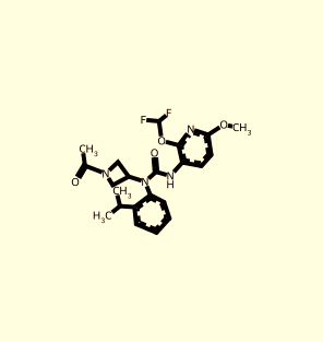 COc1ccc(NC(=O)N(c2ccccc2C(C)C)C2CN(C(C)=O)C2)c(OC(F)F)n1